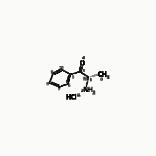 C[C@H](N)C(=O)c1ccccc1.Cl